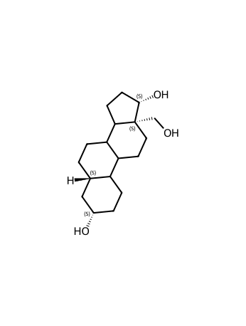 OC[C@]12CCC3C(CC[C@H]4C[C@@H](O)CCC34)C1CC[C@@H]2O